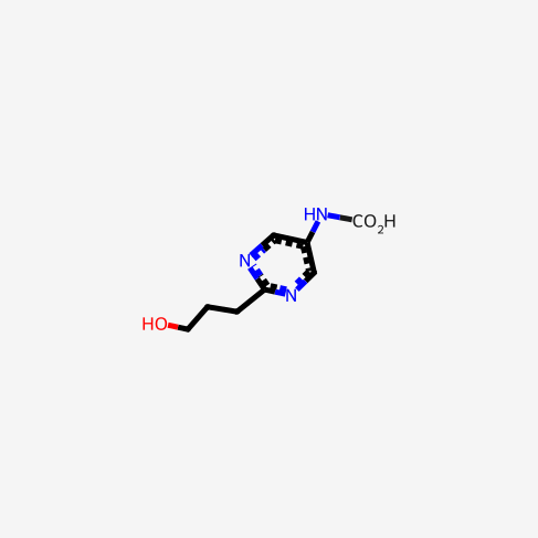 O=C(O)Nc1cnc(CCCO)nc1